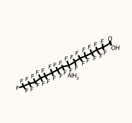 O=C(O)C(F)(F)C(F)(F)C(F)(F)C(F)(F)C(F)(F)C(F)(F)C(F)(F)C(F)(F)C(F)(F)C(F)(F)C(F)(F)C(F)(F)C(F)(F)C(F)(F)C(F)(F)F.[AlH3]